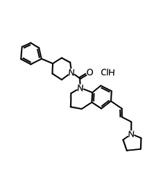 Cl.O=C(N1CCC(c2ccccc2)CC1)N1CCCc2cc(C=CCN3CCCC3)ccc21